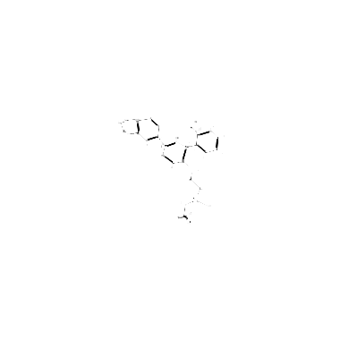 CN(CCOc1ccc(-c2ccc3c(c2)OCO3)cc1-c1ccccc1Cl)CC(=O)O